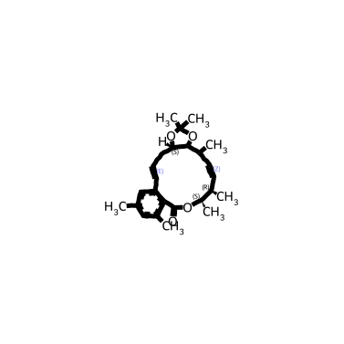 Cc1cc(C)c2c(c1)/C=C/C[C@@H]1OC(C)(C)OC1C(C)/C=C\[C@@H](C)[C@H](C)OC2=O